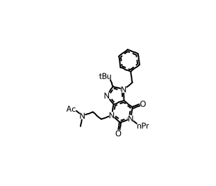 CCCn1c(=O)c2c(nc(C(C)(C)C)n2Cc2ccccc2)n(CCN(C)C(C)=O)c1=O